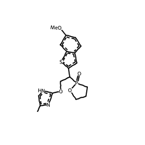 COc1ccc2cc(C(COc3nc(C)c[nH]3)P3(=O)CCCO3)sc2c1